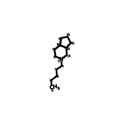 CCCCCN1CCC2CCCC2C1